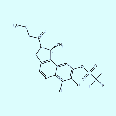 COCC(=O)N1Cc2cnc3c(Cl)c(Cl)c(OS(=O)(=O)C(F)(F)F)cc3c2[C@@H]1C